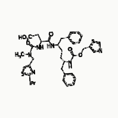 CC(C)c1nc(CN(C)C(=O)NC(CC(=O)O)C(=O)NC(CCC(Cc2ccccc2)NC(=O)OCc2cncs2)Cc2ccccc2)cs1